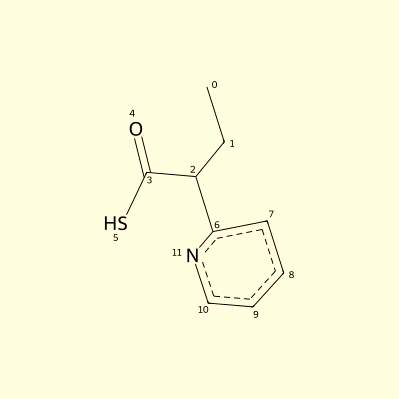 CCC(C(=O)S)c1ccccn1